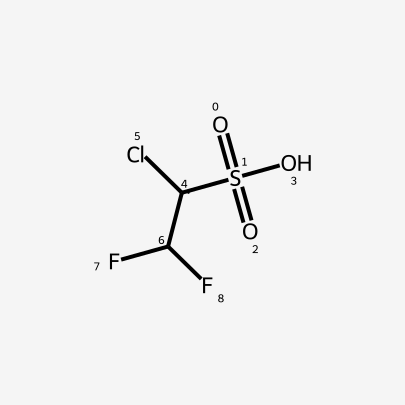 O=S(=O)(O)[C](Cl)C(F)F